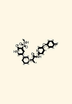 CNS(=O)(=O)c1cc([C@@H]2CCCN(C(C)C(=O)Nc3ccc(Oc4ccc(F)cc4)cn3)C2)c[nH]c1=O